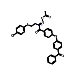 CC(=O)O/N=C(\CCSc1ccc(Cl)cc1)C(=O)C1=CCC(Sc2ccc(C(=O)c3ccccc3)cc2)C=C1